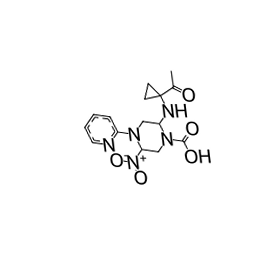 CC(=O)C1(NC2CN(c3ccccn3)C([N+](=O)[O-])CN2C(=O)O)CC1